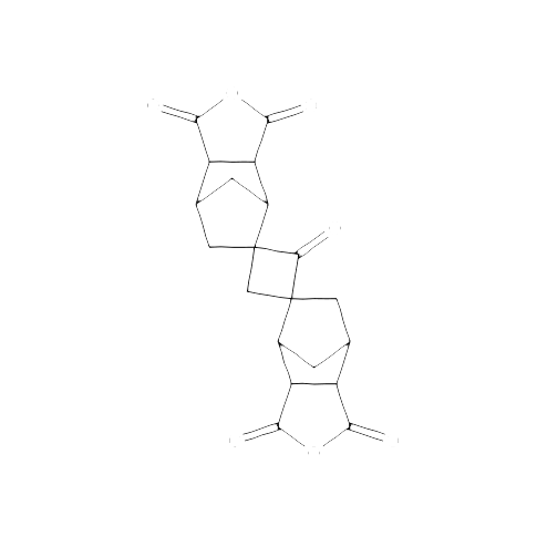 O=C1OC(=O)C2C1C1CC2C2(C1)CC1(CC3CC1C1C(=O)OC(=O)C31)C2=O